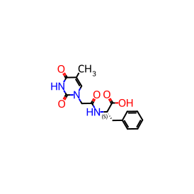 Cc1cn(CC(=O)N[C@@H](Cc2ccccc2)C(=O)O)c(=O)[nH]c1=O